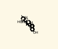 C[C@H]1C[C@H]2O[C@]3(CC[C@H]4[C@@H]5CCC6=C[C@@H](O)CC[C@]6(C)[C@H]5CC45CC53C)[C@H](C)[C@@H]2N(O)C1